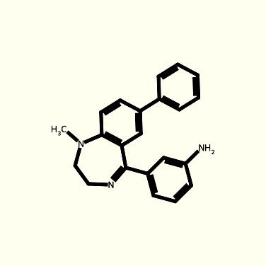 CN1CCN=C(c2cccc(N)c2)c2cc(-c3ccccc3)ccc21